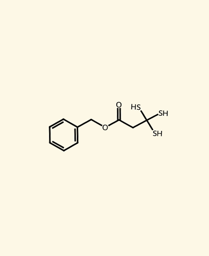 O=C(CC(S)(S)S)OCc1ccccc1